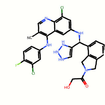 N#Cc1cnc2c(Cl)cc(N[C@H](C3=CNNN3)c3cccc4c3CN(C(=O)CO)C4)cc2c1Nc1ccc(F)c(Cl)c1